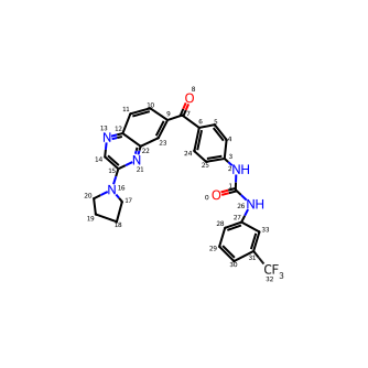 O=C(Nc1ccc(C(=O)c2ccc3ncc(N4CCCC4)nc3c2)cc1)Nc1cccc(C(F)(F)F)c1